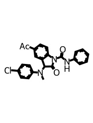 CC(=O)c1ccc2c(c1)C(N(C)c1ccc(Cl)cc1)C(=O)N2C(=O)Nc1ccccc1